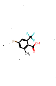 Cc1cc(Br)cc(C(F)(F)F)c1C(=O)O